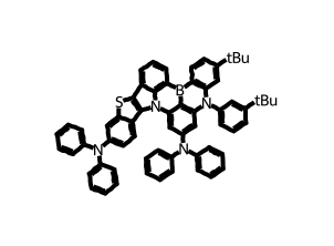 CC(C)(C)c1cccc(N2c3cc(C(C)(C)C)ccc3B3c4c2cc(N(c2ccccc2)c2ccccc2)cc4-n2c4c3cccc4c3sc4cc(N(c5ccccc5)c5ccccc5)ccc4c32)c1